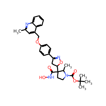 Cc1cc(COc2ccc(C3=NOC(C4(C(=O)NO)CCN(C(=O)OC(C)(C)C)C4C)C3)cc2)c2ccccc2n1